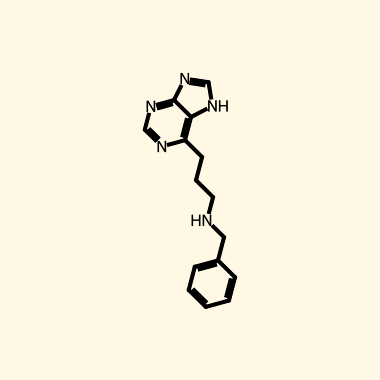 c1ccc(CNCCCc2ncnc3nc[nH]c23)cc1